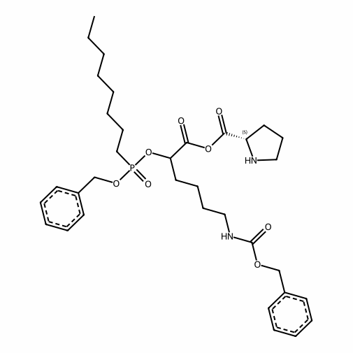 CCCCCCCCP(=O)(OCc1ccccc1)OC(CCCCNC(=O)OCc1ccccc1)C(=O)OC(=O)[C@@H]1CCCN1